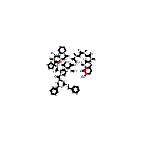 CC[C@H](C)[C@H](NC(=O)[C@H](CC(C)C)N(C)C(=O)C[C@@H](C(=O)N1CCCCC1)N(C)C(=O)[C@H](C(C)C)N(C)C(=O)C1(NC(=O)[C@@H]2CCCN2C(=O)[C@H](CCc2ccccc2)NC(=O)OCc2ccccc2)CCCC1)C(=O)N(C)CC(=O)N(C)CC(=O)N(C)[C@@H](CC1CCCCC1)C(=O)N(C)CC(=O)OC(C)(C)C